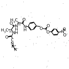 C[C@H](NC(=O)CN=[N+]=[N-])C(=O)N[C@@H](C)C(=O)Nc1ccc(COC(=O)Oc2ccc([N+](=O)[O-])cc2)cc1